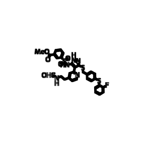 COC(=O)c1cccc(S(=O)(=O)Nc2[nH]nc(SCc3ccc(Sc4ccccc4F)cc3)c2-c2cc(CCNC=O)ccn2)c1